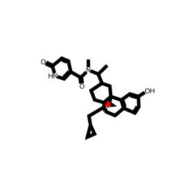 CC(C1CCC2(C)C3Cc4ccc(O)cc4C2(CCN3CC2CC2)C1)N(C)C(=O)c1ccc(=O)[nH]c1